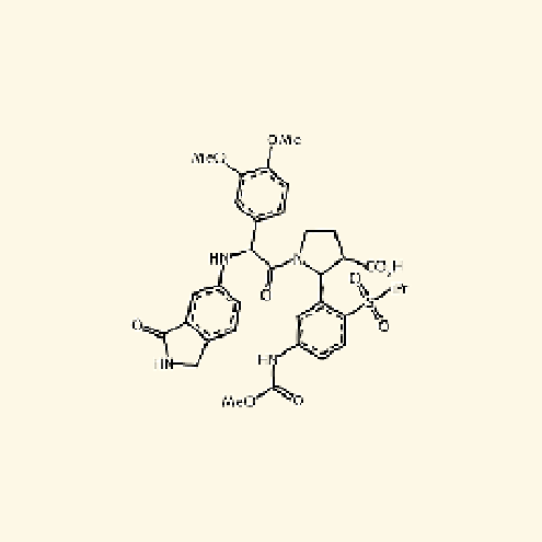 COC(=O)Nc1ccc(S(=O)(=O)C(C)C)c(C2C(C(=O)O)CCN2C(=O)[C@@H](Nc2ccc3c(c2)C(=O)NC3)c2ccc(OC)c(OC)c2)c1